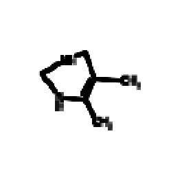 CC1=C(C)NCNC1